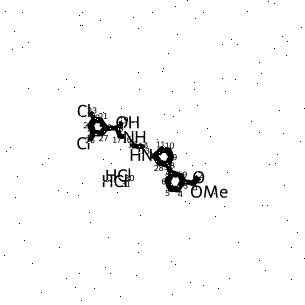 COC(=O)c1cccc(-c2cccc(NCCNCC(O)c3cc(Cl)cc(Cl)c3)c2)c1.Cl.Cl